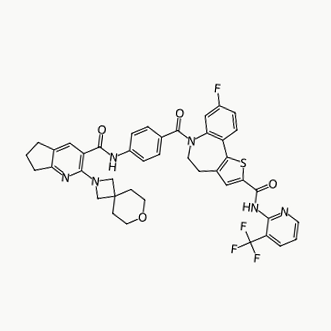 O=C(Nc1ncccc1C(F)(F)F)c1cc2c(s1)-c1ccc(F)cc1N(C(=O)c1ccc(NC(=O)c3cc4c(nc3N3CC5(CCOCC5)C3)CCC4)cc1)CC2